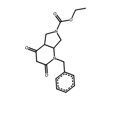 CCOC(=O)N1CC2C(=O)CC(=O)N(Cc3ccccc3)C2C1